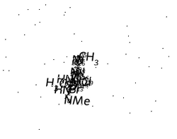 CNCCNC(=O)[C@@H](C)Nc1nc2c(Br)cccc2c2nc(-c3cnn(C)c3)nn12.Cl